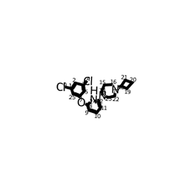 Clc1cc(Cl)cc(OC2C=C[C]=C(N3CCCN(C4CCC4)CC3)N2)c1